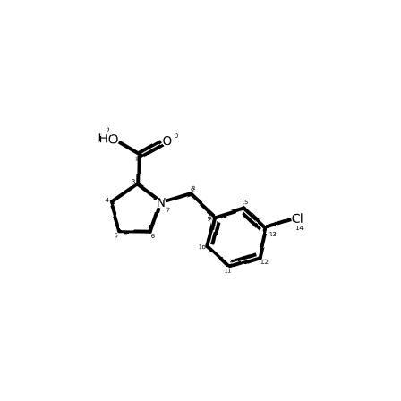 O=C(O)C1CCCN1Cc1cccc(Cl)c1